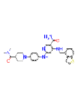 CN(C)C(=O)C1CCN(c2ccc(Nc3cc(NCc4cccc5sccc45)c(C(N)=O)cn3)cc2)CC1